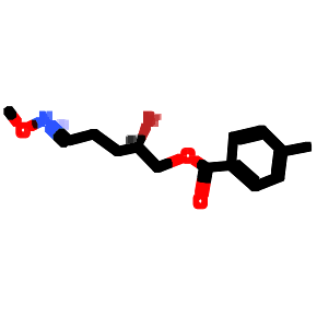 CO/N=C/CC[C@@H](Br)COC(=O)c1ccc(C)cc1